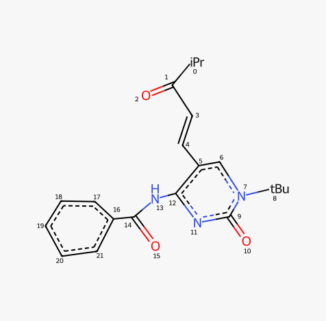 CC(C)C(=O)/C=C/c1cn(C(C)(C)C)c(=O)nc1NC(=O)c1ccccc1